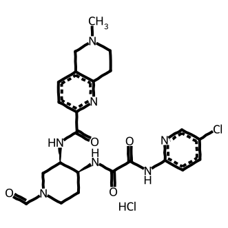 CN1CCc2nc(C(=O)N[C@@H]3CN(C=O)CC[C@@H]3NC(=O)C(=O)Nc3ccc(Cl)cn3)ccc2C1.Cl